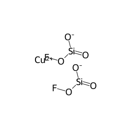 O=[Si]([O-])OF.O=[Si]([O-])OF.[Cu+2]